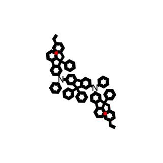 C=Cc1ccc(CC2(c3ccccc3)c3ccccc3-c3ccc(N(c4ccccc4)c4ccc5c(c4)C(c4ccccc4)(c4ccccc4)c4cc(N(c6ccccc6)c6ccc7c(c6)C(Cc6ccc(C=C)cc6)(c6ccccc6)c6ccccc6-7)ccc4-5)cc32)cc1